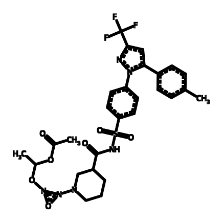 CC(=O)OC(C)On1on1N1CCCC(C(=O)NS(=O)(=O)c2ccc(-n3nc(C(F)(F)F)cc3-c3ccc(C)cc3)cc2)C1